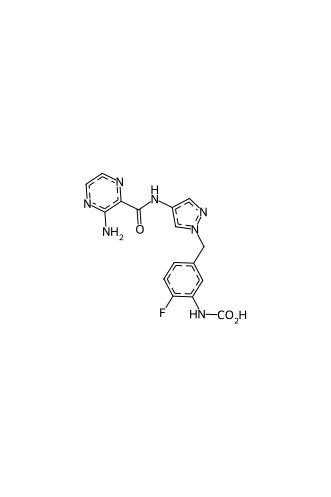 Nc1nccnc1C(=O)Nc1cnn(Cc2ccc(F)c(NC(=O)O)c2)c1